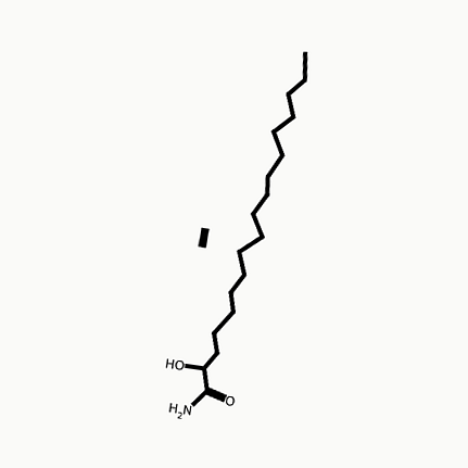 C=C.CCCCCCCCCCCCCCCCC(O)C(N)=O